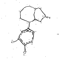 Clc1cc(N2CCCC3CNCC32)cnc1Cl